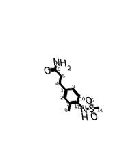 Cc1cc(CCC(N)=O)ccc1NS(C)(=O)=O